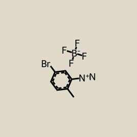 Cc1ccc(Br)cc1[N+]#N.F[B-](F)(F)F